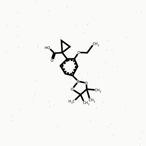 CCOc1cc(B2OC(C)(C)C(C)(C)O2)ccc1C1(C(=O)O)CC1